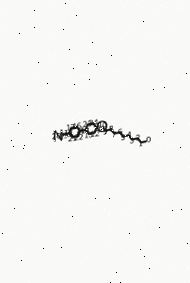 CCCCCCCCCCOC1CCC(c2ccc(C#N)cc2)CC1